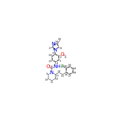 COc1cc(NC(=O)N2CCCCC2CCc2ccccc2F)ccc1-n1cnc(C)c1